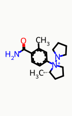 Cc1cc([N+]2(N3CCCC3)CCC[C@@H]2C)ccc1C(N)=O